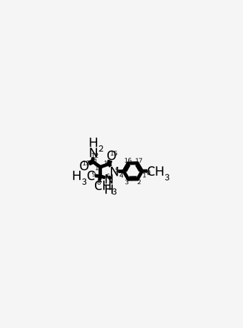 Cc1ccc(N2NC(C)(C)C(C(N)=O)C2=O)cc1